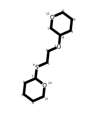 C1CCC(SCCOC2CCCOC2)OC1